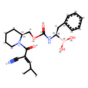 CC(C)C=C(C#N)C(=O)N1CCCC[C@H]1COC(=O)N[C@@H](Cc1ccccc1)B(O)O